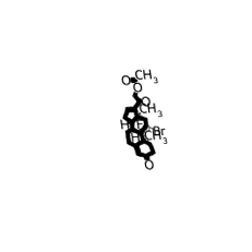 CC(=O)OCC(=O)C1=CC[C@H]2[C@@H]3CCC4=CC(=O)CC[C@]4(C)[C@@]3(F)[C@@H](Br)C[C@]12C